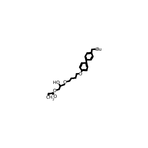 C=CC(=O)OCC(O)COCCCCOc1ccc(-c2ccc(CC(C)CC)cc2)cc1